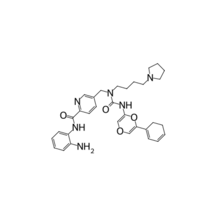 Nc1ccccc1NC(=O)c1ccc(CN(CCCCN2CCCC2)C(=O)NC2=COC=C(C3=CC=CCC3)O2)cn1